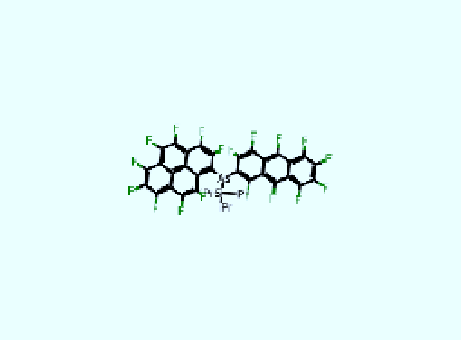 CC(C)[Si](C(C)C)(C(C)C)[As](c1c(F)c(F)c2c(F)c3c(F)c(F)c(F)c(F)c3c(F)c2c1F)c1c(F)c(F)c2c(F)c(F)c3c(F)c(F)c(F)c4c(F)c(F)c1c2c34